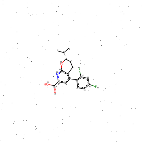 CC(C)[C@@H]1CCc2c(-c3ccc(F)cc3F)cc(C(=O)O)nc2O1